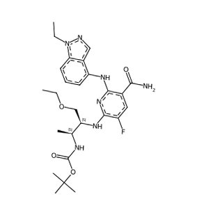 CCOC[C@@H](Nc1nc(Nc2cccc3c2cnn3CC)c(C(N)=O)cc1F)[C@H](C)NC(=O)OC(C)(C)C